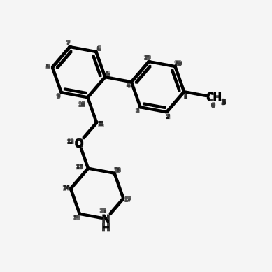 Cc1ccc(-c2ccccc2COC2CCNCC2)cc1